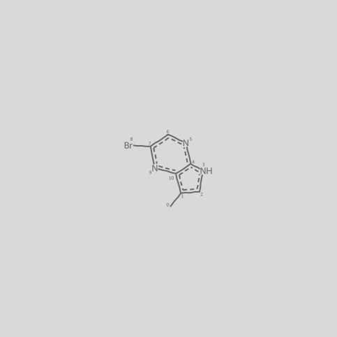 Cc1c[nH]c2ncc(Br)nc12